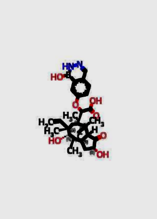 C=C[C@]1(C)C[C@@H](C(Oc2ccc3c(c2)B(O)NN=C3)C(=O)O)[C@@]2(C)[C@H](C)CC[C@]3(C[C@H](O)C(=O)[C@H]32)[C@@H](C)[C@@H]1O